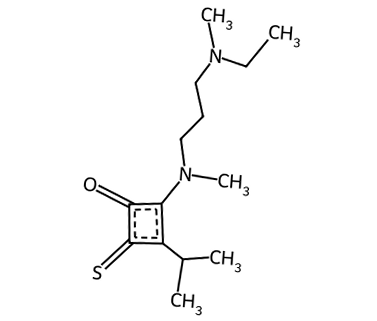 CCN(C)CCCN(C)c1c(C(C)C)c(=S)c1=O